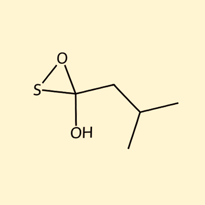 CC(C)CC1(O)OS1